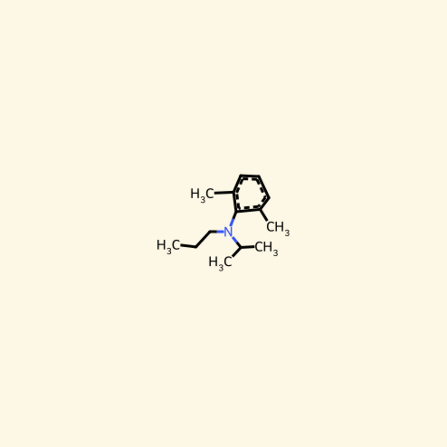 CCCN(c1c(C)cccc1C)C(C)C